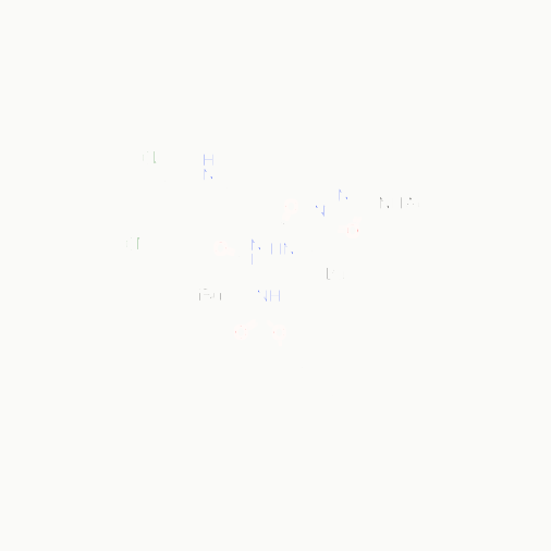 CCC(C)C(NC(=O)OCc1ccccc1)C(=O)N[C@@]1(C(=O)NC(c2nnc(NC(C)=O)o2)C(C)CC)CCc2[nH]c3c(Cl)cc(Cl)cc3c2C1